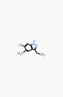 CCc1n[nH]c2cc(Cl)c(C)cc12